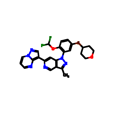 Cc1nn(-c2cc(SC3CCOCC3)ccc2OC(F)F)c2cc(-c3cnn4cccnc34)ncc12